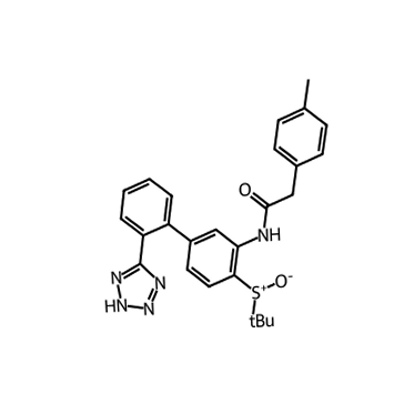 Cc1ccc(CC(=O)Nc2cc(-c3ccccc3-c3nn[nH]n3)ccc2[S+]([O-])C(C)(C)C)cc1